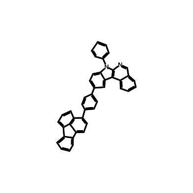 c1ccc(-n2c3ccc(-c4ccc(-c5ccc6c7c(cccc57)-c5ccccc5-6)cc4)cc3c3c4ccccc4cnc32)cc1